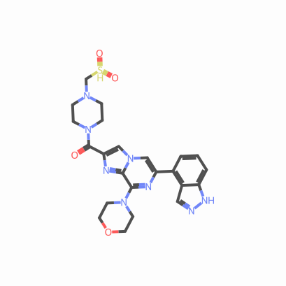 O=C(c1cn2cc(-c3cccc4[nH]ncc34)nc(N3CCOCC3)c2n1)N1CCN(C[SH](=O)=O)CC1